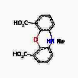 O=C(O)c1cccc2c1Oc1c(cccc1C(=O)O)N2.[Na]